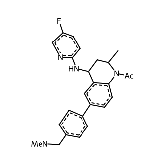 CNCc1ccc(-c2ccc3c(c2)C(Nc2ccc(F)cn2)CC(C)N3C(C)=O)cc1